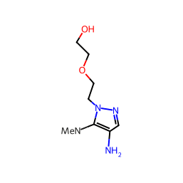 CNc1c(N)cnn1CCOCCO